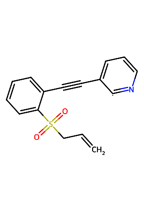 C=CCS(=O)(=O)c1ccccc1C#Cc1[c]nccc1